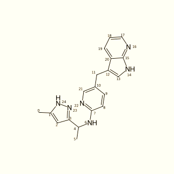 Cc1cc(C(C)Nc2ccc(Cc3c[nH]c4ncccc34)cn2)n[nH]1